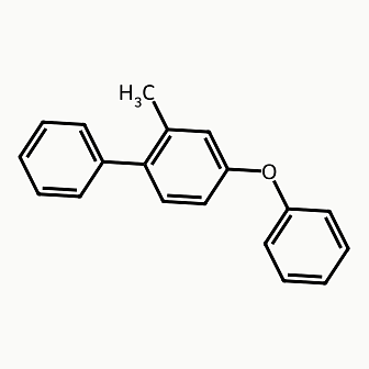 Cc1cc(Oc2ccccc2)ccc1-c1ccccc1